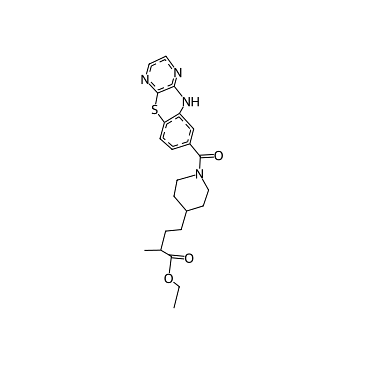 CCOC(=O)C(C)CCC1CCN(C(=O)c2ccc3c(c2)Nc2nccnc2S3)CC1